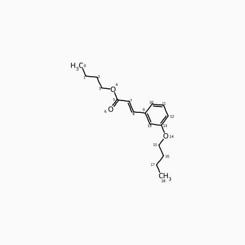 CCCCOC(=O)/C=C/c1cccc(OCCCC)c1